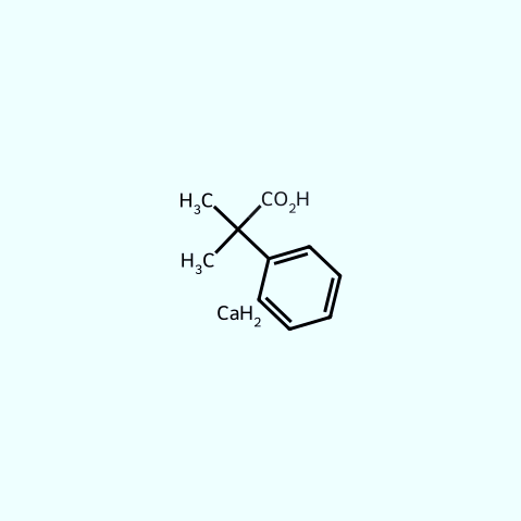 CC(C)(C(=O)O)c1ccccc1.[CaH2]